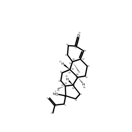 C=C(C)CC1(O)CC[C@H]2[C@@H]3CCC4=CC(=O)CC[C@]4(C)[C@H]3CC[C@@]21C